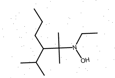 CCCC(C(C)C)C(C)(C)N(O)CC